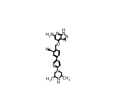 CC1CN(c2ccc(-c3ccc(COc4cc(N)nc5[nH]nnc45)c(C#N)c3)cn2)CC(C)N1